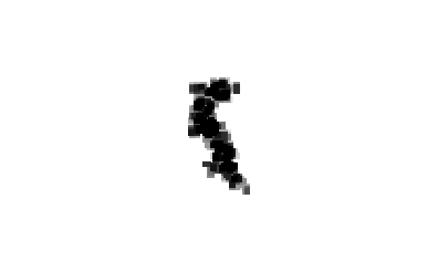 Cn1c(-c2cn(CC(F)(F)F)nc2C(F)(F)F)cnc1C(=O)Nc1ccc(C(=O)N2CCN(C(O)C3CCNCC3)CC2)c(Cl)c1